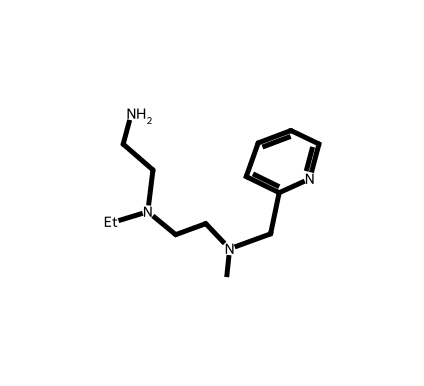 CCN(CCN)CCN(C)Cc1ccccn1